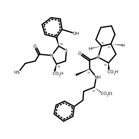 CCOC(=O)[C@H](CCc1ccccc1)N[C@@H](C)C(=O)N1[C@H](C(=O)O)C[C@@H]2CCCC[C@@H]21.O=C(O)[C@@H]1CS[C@H](c2ccccc2O)N1C(=O)CCS